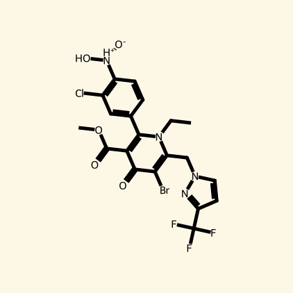 CCn1c(Cn2ccc(C(F)(F)F)n2)c(Br)c(=O)c(C(=O)OC)c1-c1ccc([NH+]([O-])O)c(Cl)c1